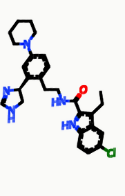 CCc1c(C(=O)NCCc2ccc(N3CCCCC3)cc2[C@H]2CNC=N2)[nH]c2ccc(Cl)cc12